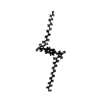 CCCCCCCCCCCCCCc1cc(C)sc1-c1nc2sc(-c3sc(C)cc3CCCCCCCCCCCCCC)nc2s1